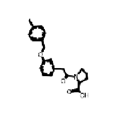 Cc1ccc(COc2cccc(CC(=O)N3CCCC3C(=O)O)c2)cc1